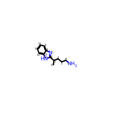 CC(CCCN)c1nc2ccccc2[nH]1